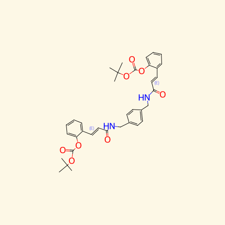 CC(C)(C)OC(=O)Oc1ccccc1/C=C/C(=O)NCc1ccc(CNC(=O)/C=C/c2ccccc2OC(=O)OC(C)(C)C)cc1